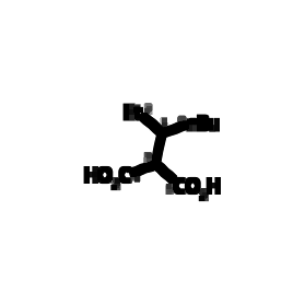 CCCCC(CC)C(C(=O)O)C(=O)O